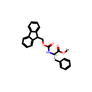 [2H]OC(=O)[C@H](Cc1ccccc1)NC(=O)OCC1c2ccccc2-c2ccccc21